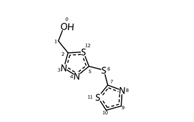 OCc1nnc(Sc2nccs2)s1